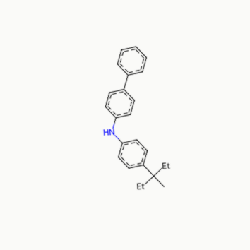 CCC(C)(CC)c1ccc(Nc2ccc(-c3ccccc3)cc2)cc1